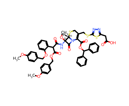 COc1ccc(COC(=O)C(C(=O)N[C@]2(OC)C(=O)N3C(C(=O)OC(c4ccccc4)c4ccccc4)=C(CSc4nnc(CC(=O)O)s4)CS[C@H]32)c2ccccc2OCc2ccc(OC)cc2)cc1